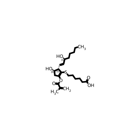 C=C(C)C(=O)OC1=C(SCCCCCC(=O)O)[C@@H](C=C[C@@H](O)CCCCC)[C@H](O)C1